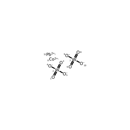 [Co+2].[O]=[W](=[O])([O-])[O-].[O]=[W](=[O])([O-])[O-].[Pb+2]